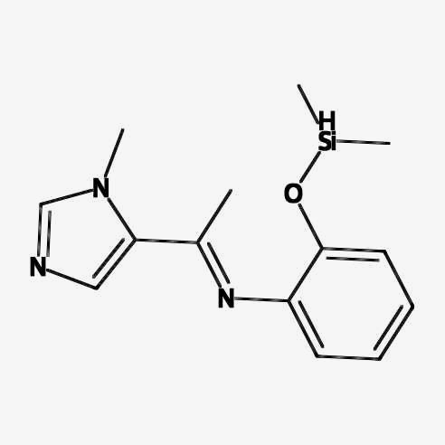 CC(=Nc1ccccc1O[SiH](C)C)c1cncn1C